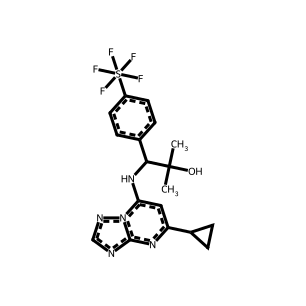 CC(C)(O)C(Nc1cc(C2CC2)nc2ncnn12)c1ccc(S(F)(F)(F)(F)F)cc1